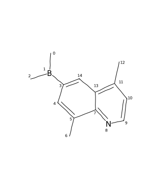 CB(C)c1cc(C)c2nccc(C)c2c1